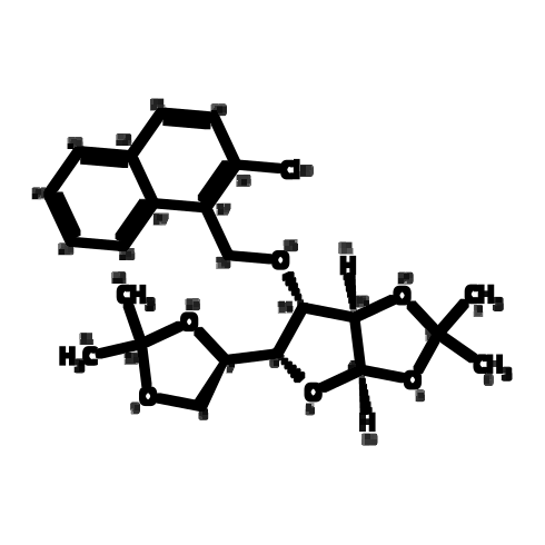 CC1(C)O[C@H]2O[C@H]([C@H]3COC(C)(C)O3)[C@H](OCc3c(Cl)ccc4ccccc34)[C@H]2O1